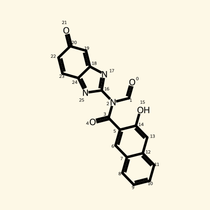 O=CN(C(=O)c1cc2ccccc2cc1O)C1=NC2=CC(=O)C=CC2=N1